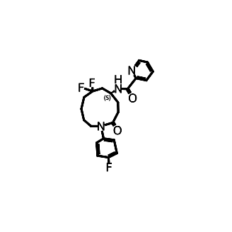 O=C(N[C@H]1CCC(=O)N(c2ccc(F)cc2)CCCCC(F)(F)C1)c1ccccn1